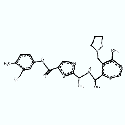 Cc1ccc(NC(=O)c2cnc(C(C)NC(O)c3ncnc(N)c3CN3CCCC3)s2)cc1C(F)(F)F